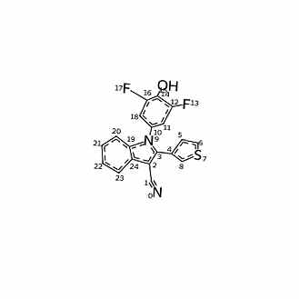 N#Cc1c(-c2ccsc2)n(-c2cc(F)c(O)c(F)c2)c2ccccc12